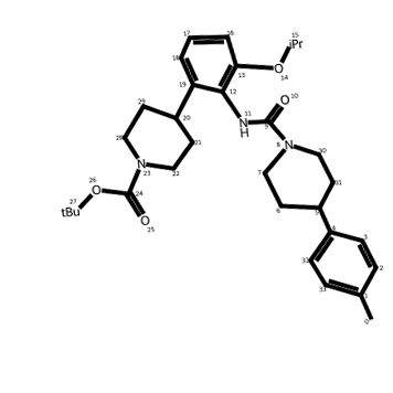 Cc1ccc(C2CCN(C(=O)Nc3c(OC(C)C)cccc3C3CCN(C(=O)OC(C)(C)C)CC3)CC2)cc1